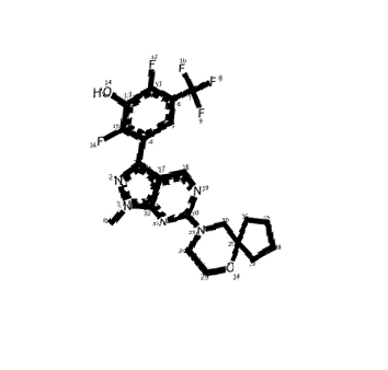 Cn1nc(-c2cc(C(F)(F)F)c(F)c(O)c2F)c2cnc(N3CCOC4(CCCC4)C3)nc21